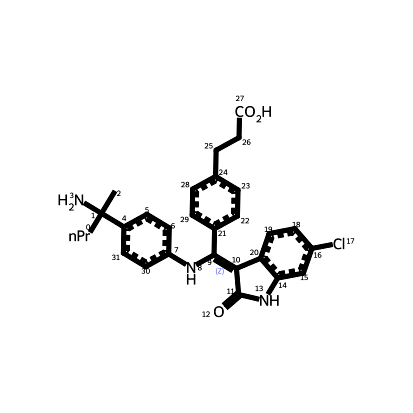 CCCC(C)(N)c1ccc(N/C(=C2\C(=O)Nc3cc(Cl)ccc32)c2ccc(CCC(=O)O)cc2)cc1